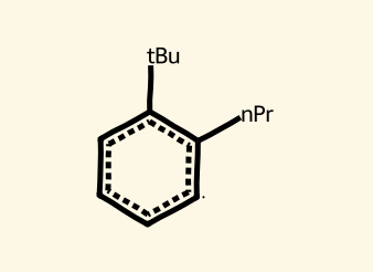 CCCc1[c]cccc1C(C)(C)C